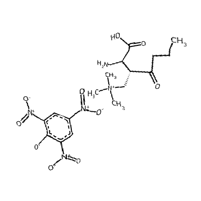 CCCC(=O)[C@H](C[N+](C)(C)C)C(N)C(=O)O.O=[N+]([O-])c1cc([N+](=O)[O-])c([O-])c([N+](=O)[O-])c1